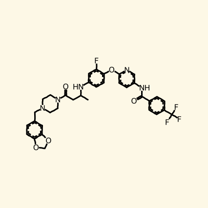 CC(CC(=O)N1CCN(Cc2ccc3c(c2)OCO3)CC1)Nc1ccc(Oc2ccc(NC(=O)c3ccc(C(F)(F)F)cc3)cn2)c(F)c1